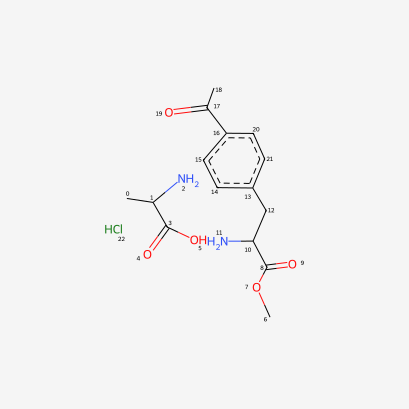 CC(N)C(=O)O.COC(=O)C(N)Cc1ccc(C(C)=O)cc1.Cl